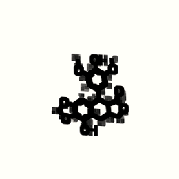 COc1cc(C2c3cc4c(c(O)c3CC3COC(=O)C32)OCO4)cc(OC)c1O